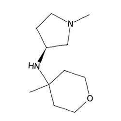 CN1CC[C@H](NC2(C)CCOCC2)C1